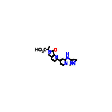 CC(C(=O)O)N1Cc2ccc(-c3ccnc(Nc4ccnn4C)c3)nc2C1=O